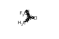 C=CCN1CCN(c2nc(-c3ccc(Cl)cc3)nc(N3CCN(c4ncccc4C(F)(F)F)CC3)n2)CC1